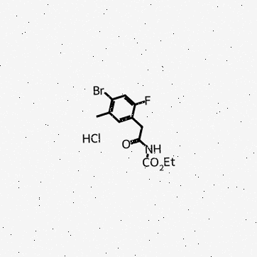 CCOC(=O)NC(=O)Cc1cc(C)c(Br)cc1F.Cl